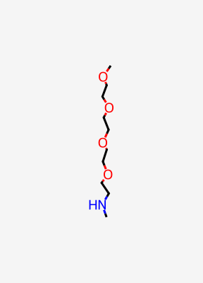 CNCCOCCOCCOCCOC